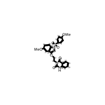 COc1ccc(S(=O)(=O)n2nc(OCCn3c(=O)[nH]c4ccccc4c3=O)c3cc(OC)ccc32)cc1